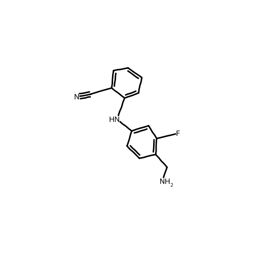 N#Cc1ccccc1Nc1ccc(CN)c(F)c1